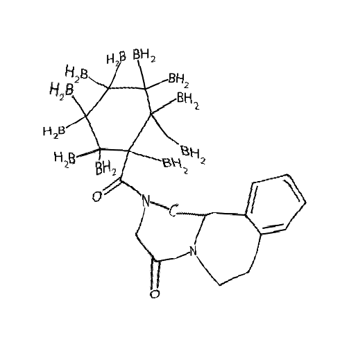 BC1(B)C(B)(B)C(B)(B)C(B)(C(=O)N2CC(=O)N3CCc4ccccc4C3C2)C(B)(B)C1(B)B